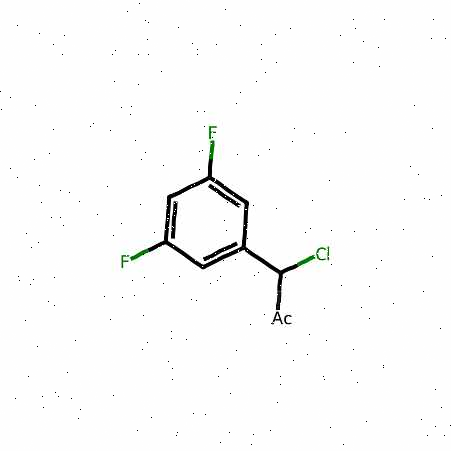 CC(=O)C(Cl)c1cc(F)cc(F)c1